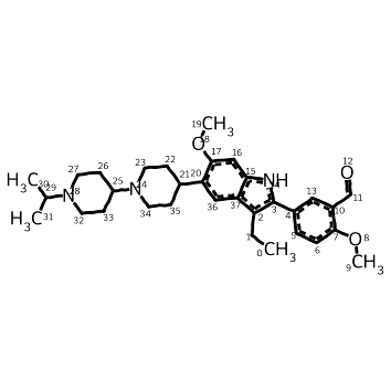 CCc1c(-c2ccc(OC)c(C=O)c2)[nH]c2cc(OC)c(C3CCN(C4CCN(C(C)C)CC4)CC3)cc12